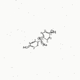 O=S(=O)(c1ccc(O)cc1)c1ccc(O)cc1.[Na]